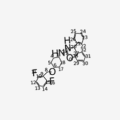 O=C(NC1CCC(OCc2c(F)cccc2F)CC1)NC(c1ccccc1)c1ccccc1